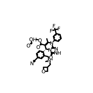 COC(=O)C1=C(C)N(c2cccc(C(F)(F)F)c2)c2n[nH]c(=O)n2[C@@H]1c1ccc(C#N)cc1C[N+](C)(C)CC1COC1.O=CO